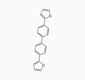 c1coc(-c2ccc(-c3ccc(-c4ccco4)cc3)cc2)c1